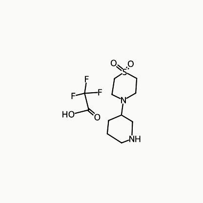 O=C(O)C(F)(F)F.O=S1(=O)CCN(C2CCCNC2)CC1